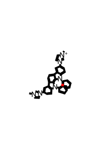 C[n+]1ccn(-c2ccc3c(c2)c2ccc4c5cc(-n6cc[n+](C)c6)ccc5n(-c5ccccc5)c4c2n3-c2ccccc2)c1